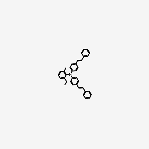 CCc1cccc(C)c1N(c1ccc(/C=C/c2ccccc2)cc1)c1ccc(/C=C/c2ccccc2)cc1